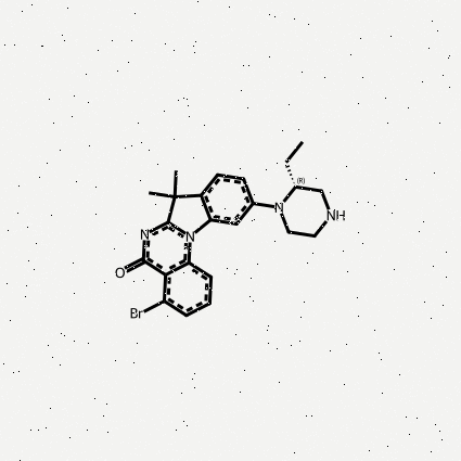 CC[C@@H]1CNCCN1c1ccc2c(c1)-n1c(nc(=O)c3c(Br)cccc31)C2(C)C